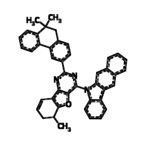 CC1CC=Cc2c1oc1c(-n3c4ccccc4c4cc5ccccc5cc43)nc(-c3ccc4c(c3)-c3ccccc3C(C)(C)C4)nc21